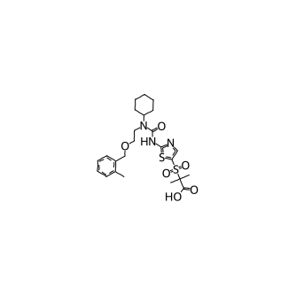 Cc1ccccc1COCCN(C(=O)Nc1ncc(S(=O)(=O)C(C)(C)C(=O)O)s1)C1CCCCC1